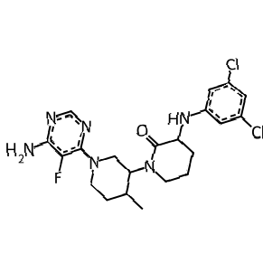 CC1CCN(c2ncnc(N)c2F)CC1N1CCCC(Nc2cc(Cl)cc(Cl)c2)C1=O